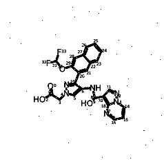 O=C(O)Cn1cc(NC(O)c2cnn3cccnc23)c(-c2cc3ccccc3cc2OC(F)F)n1